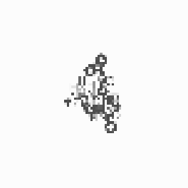 CCC[C@H](NC(=O)[C@@H]1CN(C(=O)OCC2c3ccccc3-c3ccccc32)C[C@@H]1NC(=O)[C@@H](NC(=O)[C@@H](NC(=O)c1cnccn1)C1CCCCC1)C(C)(C)C)C(O)C(=O)NC1CC1